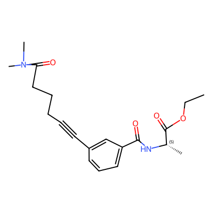 CCOC(=O)[C@H](C)NC(=O)c1cccc(C#CCCCC(=O)N(C)C)c1